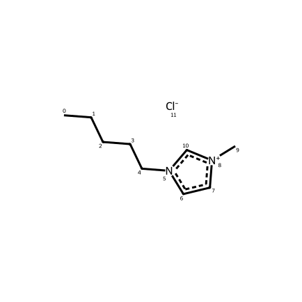 CCCCCn1cc[n+](C)c1.[Cl-]